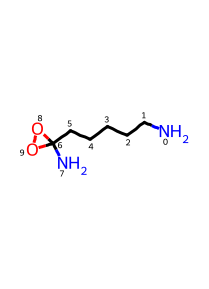 NCCCCCC1(N)OO1